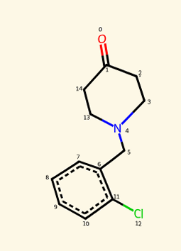 O=C1[CH]CN(Cc2ccccc2Cl)CC1